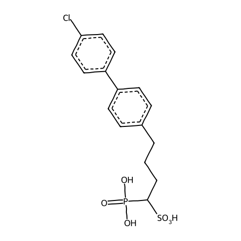 O=P(O)(O)C(CCCc1ccc(-c2ccc(Cl)cc2)cc1)S(=O)(=O)O